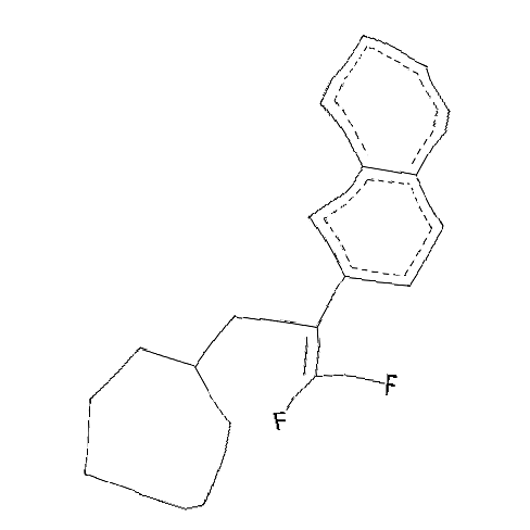 FC(F)=C(CC1CCCCCC1)c1ccc2ccccc2c1